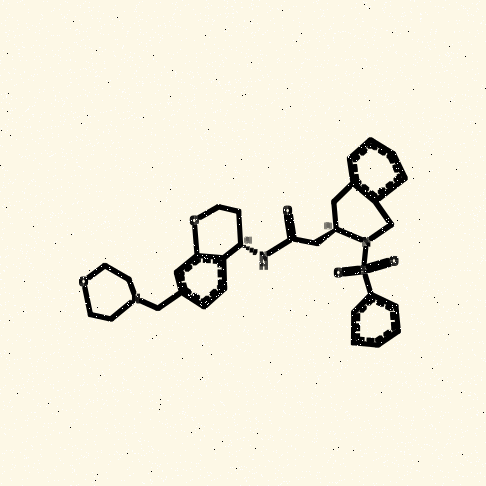 O=C(C[C@H]1Cc2ccccc2CN1S(=O)(=O)c1ccccc1)N[C@H]1CCOc2cc(CN3CCOCC3)ccc21